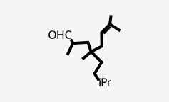 CC(C)=CCC(C)(CCC(C)C)CC(C)C=O